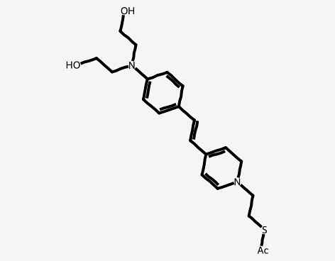 CC(=O)SCCN1C=CC(/C=C/c2ccc(N(CCO)CCO)cc2)=CC1